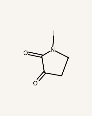 O=C1CCN(I)C1=O